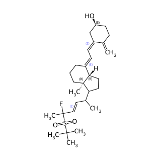 C=C1CC[C@H](O)C/C1=C/C=C1\CCC[C@]2(C)C(C(C)/C=C/C(C)(F)S(=O)(=O)C(C)(C)C)CC[C@@H]12